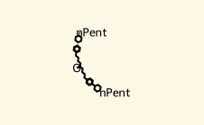 CCCCCC1CCC(c2ccc(CCCCC(=O)CCCCc3ccc([C@H]4CC[C@H](CCCCC)CC4)cc3)cc2)CC1